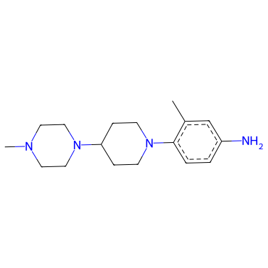 Cc1cc(N)ccc1N1CCC(N2CCN(C)CC2)CC1